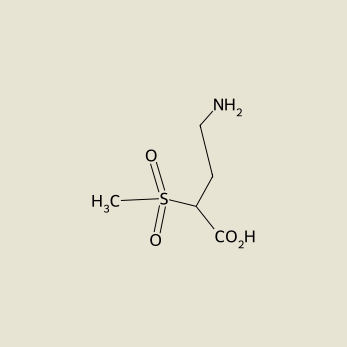 CS(=O)(=O)C(CCN)C(=O)O